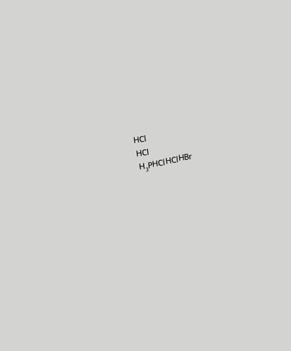 Br.Cl.Cl.Cl.Cl.P